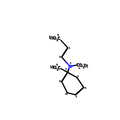 CCOC(=O)CCN(C(=O)OCC)C1(C(=O)O)CCCCC1